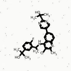 Cc1nc2ccc(-c3cnc(C(C)(C)O)nc3)cc2c(NC(C)c2cc(C(C)(C)O)ccc2F)c1Cl